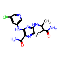 CC(Nc1cnc(C(N)=O)c(Nc2cncc(Cl)c2)n1)C(C)C(N)=O